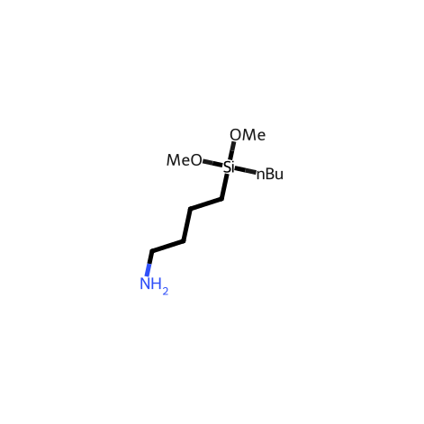 CCCC[Si](CCCCN)(OC)OC